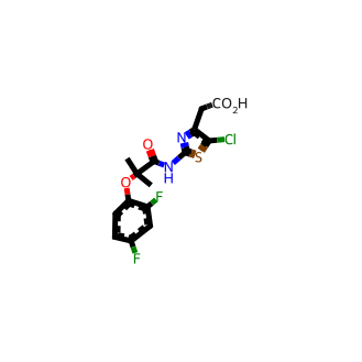 CC(C)(Oc1ccc(F)cc1F)C(=O)Nc1nc(CC(=O)O)c(Cl)s1